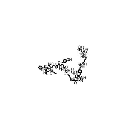 CCCC(=O)OCN(C(=O)[C@@H](NC(=O)[C@H]1CCCCN1C)C(C)CC)[C@H](C[C@@H](O)c1nc(C(=O)N[C@@H](Cc2ccc(O)cc2)C[C@H](C)C(=O)NNC(=O)OCCSSC[C@@H](C)NC(=O)[C@H](Cc2c[nH]cn2)NC(=O)[C@H](CC(=O)O)NC(=O)Cc2ccc(CNC(=O)NCCCC[C@@H](C)NC(=O)N[C@@H](CCC(=O)O)C(=O)O)cc2)cs1)C(C)C